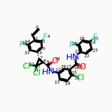 C=Cc1c(F)cc([C@@H]2[C@@H](C(=O)Nc3ccc(Cl)c(C(=O)Nc4ccc(F)cc4F)c3)C2(Cl)Cl)cc1F